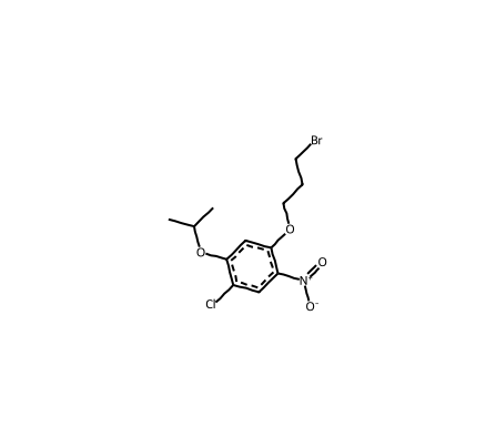 CC(C)Oc1cc(OCCCBr)c([N+](=O)[O-])cc1Cl